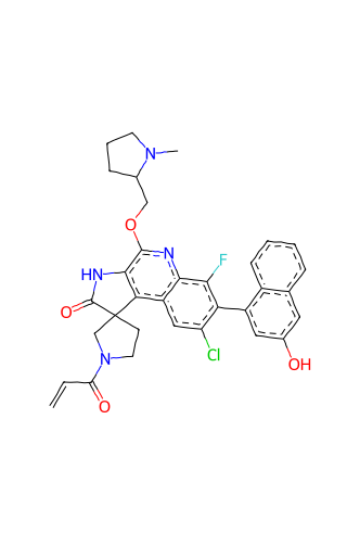 C=CC(=O)N1CCC2(C1)C(=O)Nc1c(OCC3CCCN3C)nc3c(F)c(-c4cc(O)cc5ccccc45)c(Cl)cc3c12